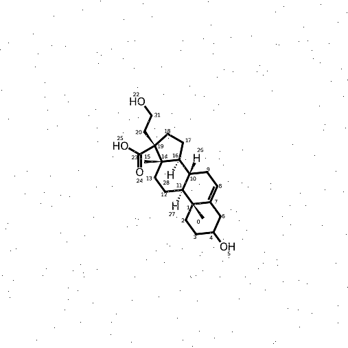 C[C@]12CCC(O)CC1=CC[C@@H]1[C@@H]2CC[C@@]2(C)[C@H]1CC[C@@]2(CCO)C(=O)O